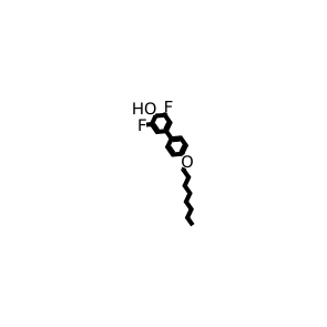 CCCCCCCCOc1ccc(C2=CC(F)C(O)C(F)=C2)cc1